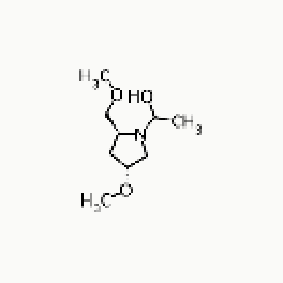 COC[C@@H]1C[C@@H](OC)CN1C(C)O